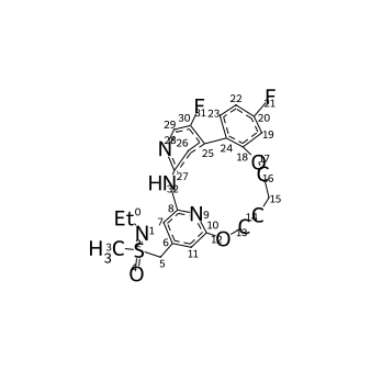 CCN=S(C)(=O)Cc1cc2nc(c1)OCCCCOc1cc(F)ccc1-c1cc(ncc1F)N2